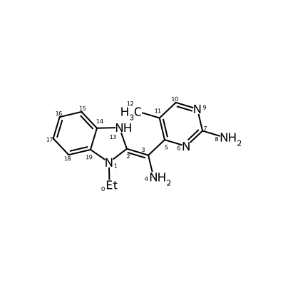 CCN1/C(=C(\N)c2nc(N)ncc2C)Nc2ccccc21